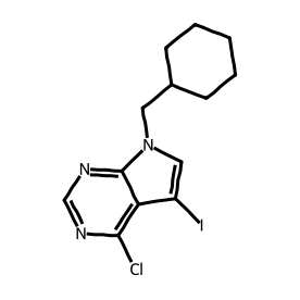 Clc1ncnc2c1c(I)cn2CC1CCCCC1